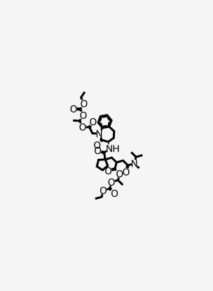 CCOC(=O)OC(C)OC(=O)CN1C(=O)[C@@H](NC(=O)C2(CC(CC(=O)N(C)C(C)C)C(=O)OC(C)OC(=O)OCC)CCCC2)CCc2ccccc21